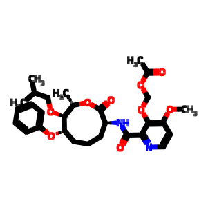 COc1ccnc(C(=O)N[C@H]2CCC[C@H](Oc3ccccc3)[C@@H](OCC(C)C)[C@H](C)OC2=O)c1OCOC(C)=O